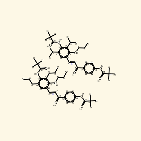 CCCOc1c(/C=C/C(=O)c2ccc(OC(=O)C(C)(C)C)cc2)cc(C(C)C)c(OC(=O)C(C)(C)C)c1C(C)C.CCCOc1c(/C=C/C(=O)c2ccc(OC(=O)C(C)(C)C)cc2)cc(CCC)c(OC(=O)C(C)(C)C)c1CCC